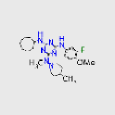 COc1ccc(Nc2nc(NC3CCCCCC3)nc(N(C)N3CCC(C)CC3)n2)cc1F